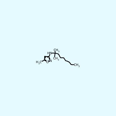 CCCCCCCC(C)(C)Nc1cc(C)on1